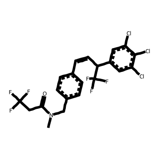 CN(Cc1ccc(/C=C\C(c2cc(Cl)c(Cl)c(Cl)c2)C(F)(F)F)cc1)C(=O)CC(F)(F)F